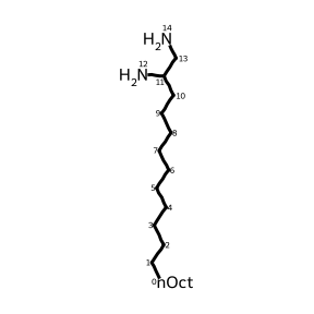 CCCCCCCCCCCCCCCCCCC(N)CN